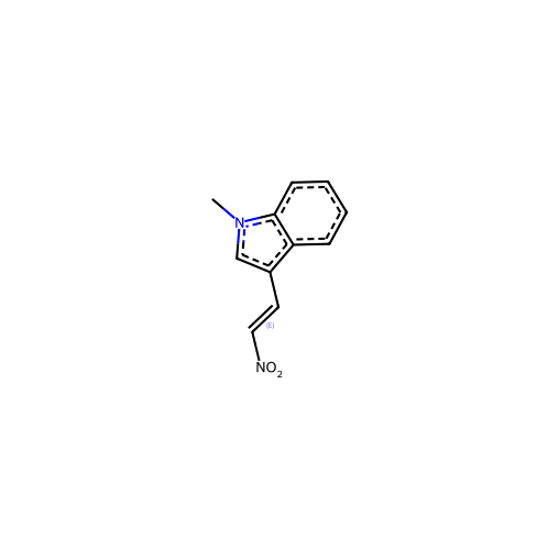 Cn1cc(/C=C/[N+](=O)[O-])c2ccccc21